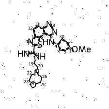 COc1ccc(Nc2ncnc3ccc4nc(C(=N)NCCN5CCOCC5)sc4c23)cc1